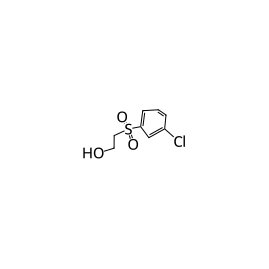 O=S(=O)(CCO)c1cccc(Cl)c1